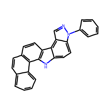 c1ccc(-n2ncc3c4c(ccc32)[nH]c2c4ccc3ccc4ccccc4c32)cc1